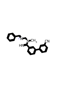 CN(C/N=C/c1ccccc1)C(=N)c1cccc(-c2cccc(C#N)c2)c1